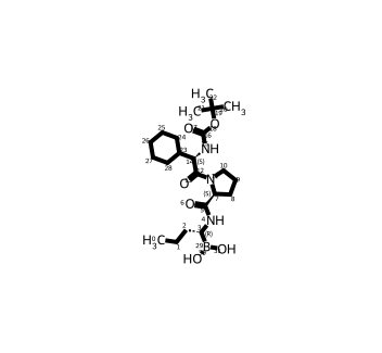 CCC[C@H](NC(=O)[C@@H]1CCCN1C(=O)[C@@H](NC(=O)OC(C)(C)C)C1CCCCC1)B(O)O